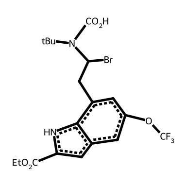 CCOC(=O)c1cc2cc(OC(F)(F)F)cc(CC(Br)N(C(=O)O)C(C)(C)C)c2[nH]1